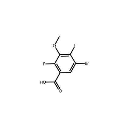 COc1c(F)c(Br)cc(C(=O)O)c1F